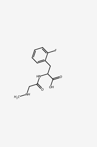 CNCC(=O)NC(Cc1ccccc1F)C(=O)O